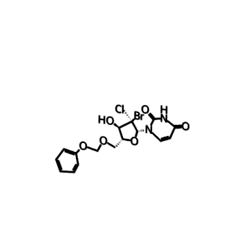 O=c1ccn([C@@H]2O[C@H](COCOc3ccccc3)[C@@H](O)[C@@]2(Cl)Br)c(=O)[nH]1